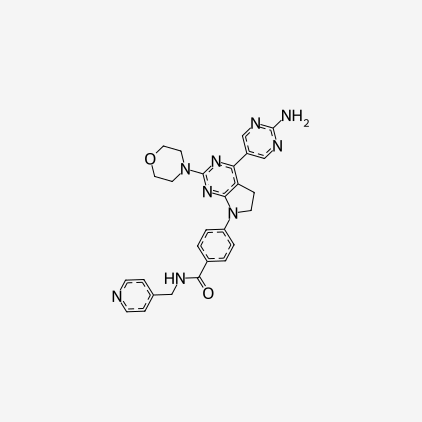 Nc1ncc(-c2nc(N3CCOCC3)nc3c2CCN3c2ccc(C(=O)NCc3ccncc3)cc2)cn1